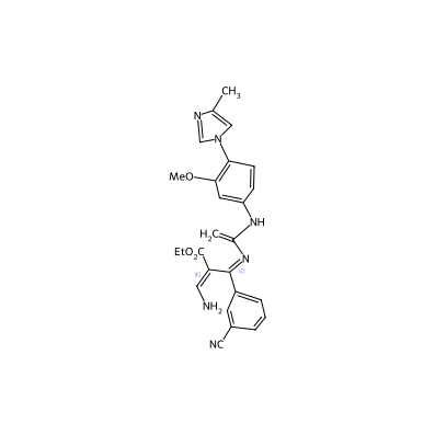 C=C(/N=C(\C(=C/N)C(=O)OCC)c1cccc(C#N)c1)Nc1ccc(-n2cnc(C)c2)c(OC)c1